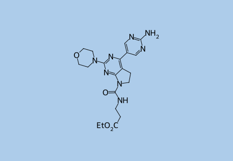 CCOC(=O)CCNC(=O)N1CCc2c(-c3cnc(N)nc3)nc(N3CCOCC3)nc21